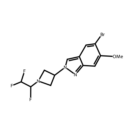 COc1cc2nn(C3CN(C(F)C(F)F)C3)cc2cc1Br